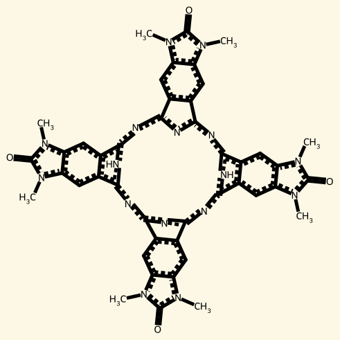 Cn1c(=O)n(C)c2cc3c(cc21)-c1nc-3nc2[nH]c(nc3nc(nc4[nH]c(n1)c1cc5c(cc41)n(C)c(=O)n5C)-c1cc4c(cc1-3)n(C)c(=O)n4C)c1cc3c(cc21)n(C)c(=O)n3C